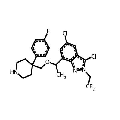 CC(OCC1(c2ccc(F)cc2)CCNCC1)c1cc(Cl)cc2c(Cl)n(CC(F)(F)F)nc12